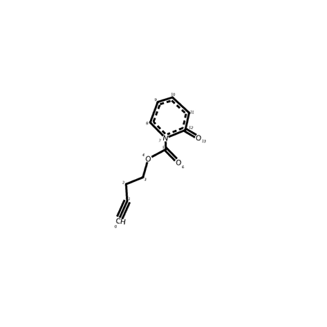 C#CCCOC(=O)n1ccccc1=O